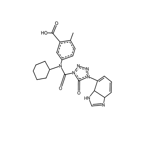 Cc1ccc(N(C(=O)n2nnn(C3=CC=CC4N=CNC34)c2=O)C2CCCCC2)cc1C(=O)O